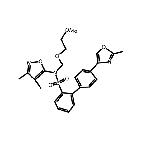 COCCOCN(c1onc(C)c1C)S(=O)(=O)c1ccccc1-c1ccc(-c2coc(C)n2)cc1